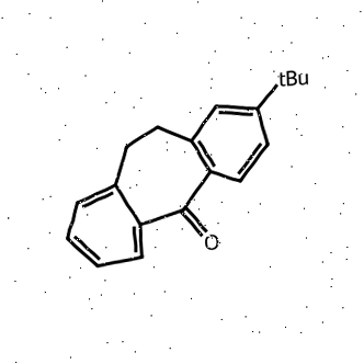 CC(C)(C)c1ccc2c(c1)CCc1ccccc1C2=O